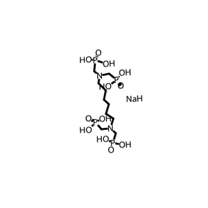 O=P(O)(O)CN(CCCCCCN(CP(=O)(O)O)CP(=O)(O)O)CP(=O)(O)O.[NaH]